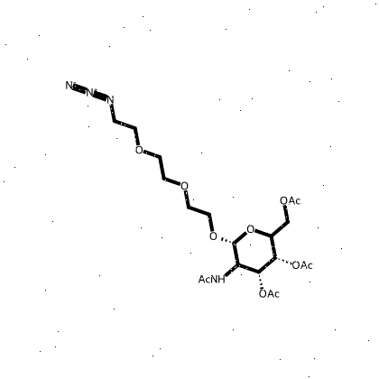 CC(=O)NC1[C@H](OCCOCCOCCN=[N+]=[N-])OC(COC(C)=O)[C@H](OC(C)=O)[C@@H]1OC(C)=O